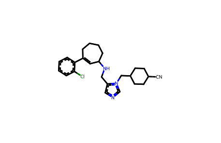 N#CC1CCC(Cn2cncc2CNC2C=C(c3ccccc3Cl)CCCC2)CC1